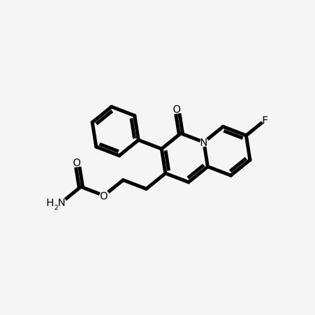 NC(=O)OCCc1cc2ccc(F)cn2c(=O)c1-c1ccccc1